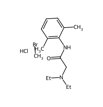 CBr.CCN(CC)CC(=O)Nc1c(C)cccc1C.Cl